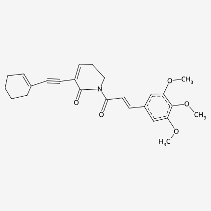 COc1cc(C=CC(=O)N2CCC=C(C#CC3=CCCCC3)C2=O)cc(OC)c1OC